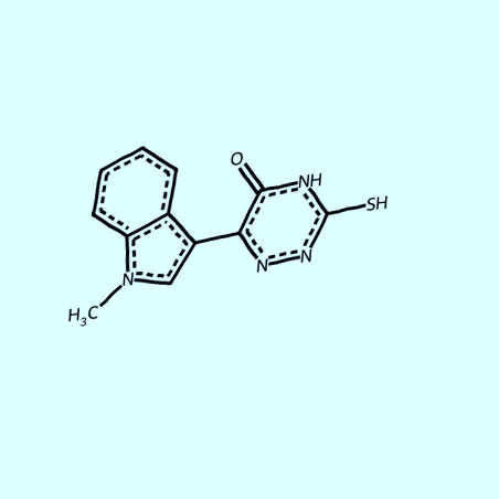 Cn1cc(-c2nnc(S)[nH]c2=O)c2ccccc21